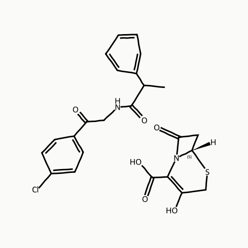 CC(C(=O)NCC(=O)c1ccc(Cl)cc1)c1ccccc1.O=C(O)C1=C(O)CS[C@H]2CC(=O)N12